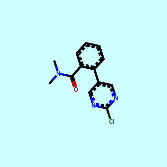 CN(C)C(=O)c1ccccc1-c1cnc(Cl)nc1